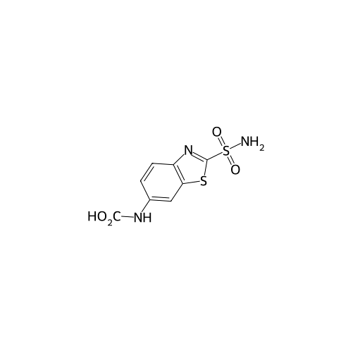 NS(=O)(=O)c1nc2ccc(NC(=O)O)cc2s1